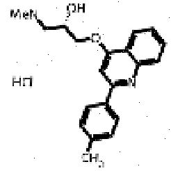 CNC[C@H](O)COc1cc(-c2ccc(C)cc2)nc2ccccc12.Cl